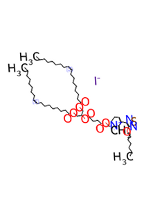 CCCCCCCC/C=C\CCCCCCCC(=O)OCC(COC(=O)CCCCCCC/C=C\CCCCCCCC)OC(=O)CCC(=O)OC[N+]1(C)CCC=C(c2nsnc2OCCCCCC)C1.[I-]